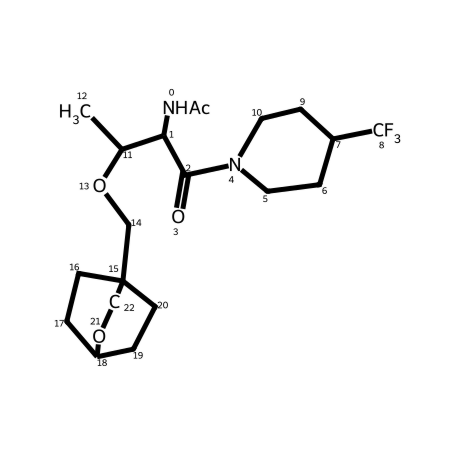 CC(=O)NC(C(=O)N1CCC(C(F)(F)F)CC1)C(C)OCC12CCC(CC1)OC2